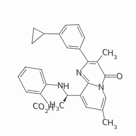 Cc1cc([C@@H](C)Nc2ccccc2C(=O)O)c2nc(-c3cccc(C4CC4)c3)c(C)c(=O)n2c1